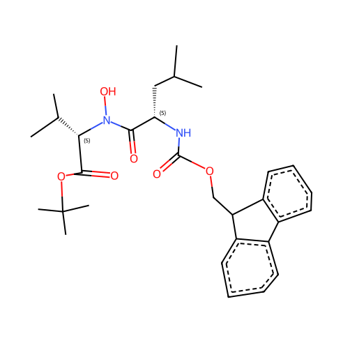 CC(C)C[C@H](NC(=O)OCC1c2ccccc2-c2ccccc21)C(=O)N(O)[C@H](C(=O)OC(C)(C)C)C(C)C